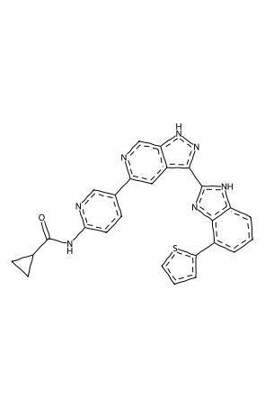 O=C(Nc1ccc(-c2cc3c(-c4nc5c(-c6cccs6)cccc5[nH]4)n[nH]c3cn2)cn1)C1CC1